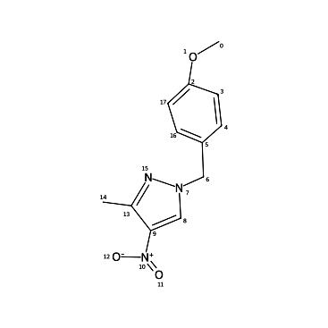 COc1ccc(Cn2cc([N+](=O)[O-])c(C)n2)cc1